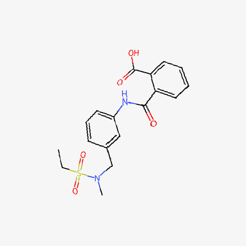 CCS(=O)(=O)N(C)Cc1cccc(NC(=O)c2ccccc2C(=O)O)c1